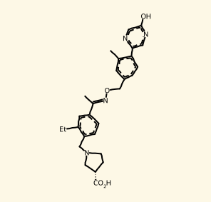 CCc1cc(/C(C)=N/OCc2ccc(-c3cnc(O)cn3)c(C)c2)ccc1CN1CC[C@H](C(=O)O)C1